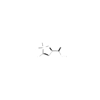 CNC(=O)C1=N[N+](C)(C)C([N+](=O)[O-])=C1